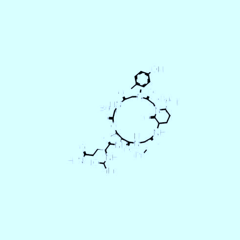 CCC(C)[C@@H]1NC(=O)[C@H](Cc2ccc(O)cc2)N(C)C(=O)[C@H](C(C)CC)N2C(=O)C(CC[C@@H]2O)NC(=O)[C@H](CC(C)C)NC(=O)[C@@H](NC(=O)[C@H](CCC(N)=O)NC(O)C(C)C)[C@@H](C)OC1=O